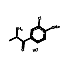 COc1ccc(C(=O)C(C)N)cc1Cl.Cl